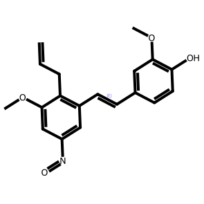 C=CCc1c(/C=C/c2ccc(O)c(OC)c2)cc(N=O)cc1OC